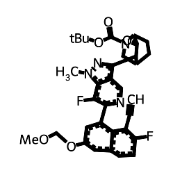 C#Cc1c(F)ccc2cc(OCOC)cc(-c3ncc4c(C5C(=O)C6CCC5CN6C(=O)OC(C)(C)C)nn(C)c4c3F)c12